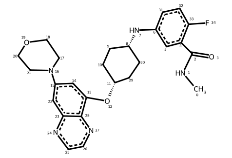 CNC(=O)c1cc(N[C@H]2CC[C@@H](Oc3cc(N4CCOCC4)cc4nccnc34)CC2)ccc1F